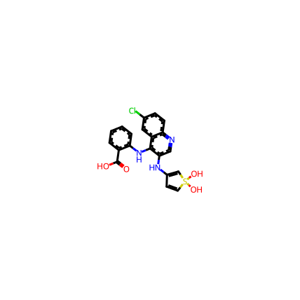 O=C(O)c1ccccc1Nc1c(NC2=CS(O)(O)C=C2)cnc2ccc(Cl)cc12